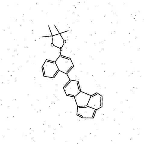 CC1(C)OB(c2ccc(-c3ccc4c(c3)-c3cccc5cccc-4c35)c3ccccc23)OC1(C)C